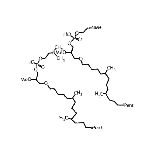 CCCC(C)CCCC(C)CCCC(C)CCCCCOCC(COP(=O)(O)OCCN(C)C)OC.CCCC(C)CCCC(C)CCCC(C)CCCCCOCC(COP(=O)(O)OCCNC)OC